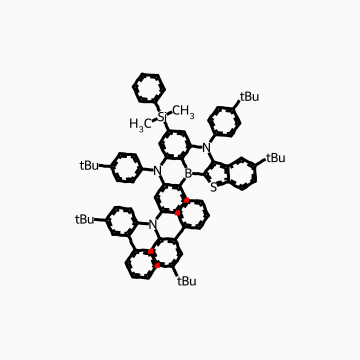 CC(C)(C)c1ccc(N2c3cc(N(c4ccc(C(C)(C)C)cc4-c4ccccc4)c4ccc(C(C)(C)C)cc4-c4ccccc4)ccc3B3c4sc5ccc(C(C)(C)C)cc5c4N(c4ccc(C(C)(C)C)cc4)c4cc([Si](C)(C)c5ccccc5)cc2c43)cc1